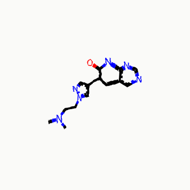 CN(C)CCn1cc(C2C=c3cncnc3=NC2=O)cn1